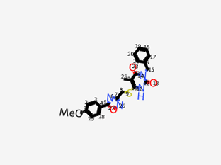 COc1ccc(-c2nc(CSc3[nH]c(=O)n(Cc4ccccc4)c(=O)c3C)no2)cc1